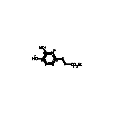 CCOC(=O)CCc1ccc(O)c(C#N)n1